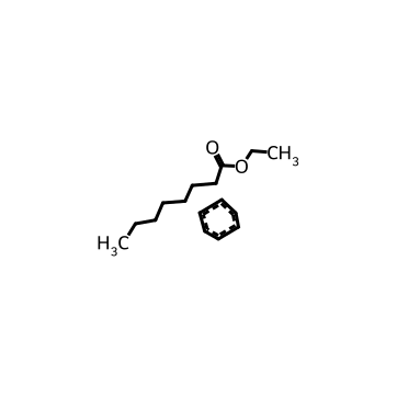 CCCCCCCC(=O)OCC.c1ccccc1